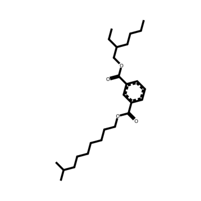 CCCCC(CC)COC(=O)c1cccc(C(=O)OCCCCCCCC(C)C)c1